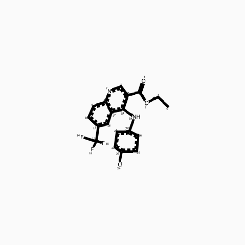 CCOC(=O)c1cnc2ccc(C(F)(F)F)cc2c1Nc1ccc(Cl)cc1